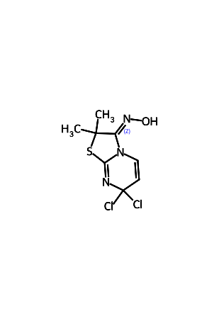 CC1(C)SC2=NC(Cl)(Cl)C=CN2/C1=N\O